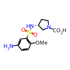 COc1ccc(N)cc1S(=O)(=O)N[C@@H]1CCN(C(=O)O)C1